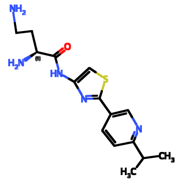 CC(C)c1ccc(-c2nc(NC(=O)[C@@H](N)CCN)cs2)cn1